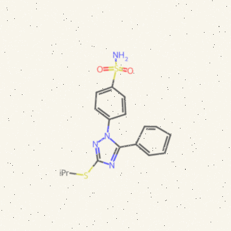 CC(C)Sc1nc(-c2ccccc2)n(-c2ccc(S(N)(=O)=O)cc2)n1